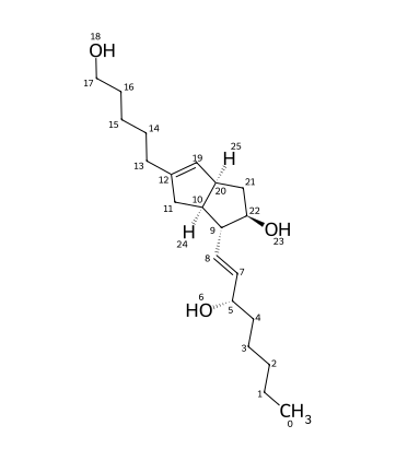 CCCCC[C@H](O)/C=C/[C@@H]1[C@H]2CC(CCCCCO)=C[C@H]2C[C@H]1O